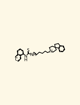 S=C(NCCCCCCN1CCC2(CCc3ccccc32)CC1)Nc1cccc2ccccc12